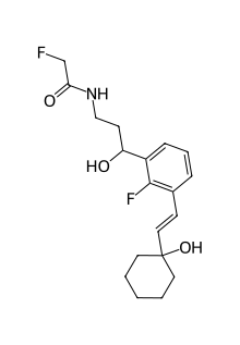 O=C(CF)NCCC(O)c1cccc(C=CC2(O)CCCCC2)c1F